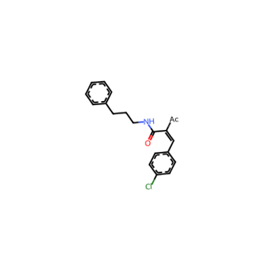 CC(=O)/C(=C/c1ccc(Cl)cc1)C(=O)NCCCc1ccccc1